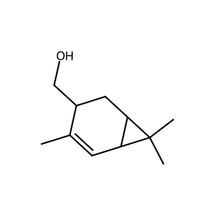 CC1=CC2C(CC1CO)C2(C)C